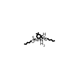 CCCCCO[SH]=C(N)C1(C)CC(NC(=S)OCCCCC)CC(C)(C)C1